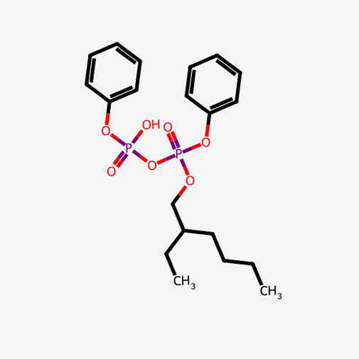 CCCCC(CC)COP(=O)(Oc1ccccc1)OP(=O)(O)Oc1ccccc1